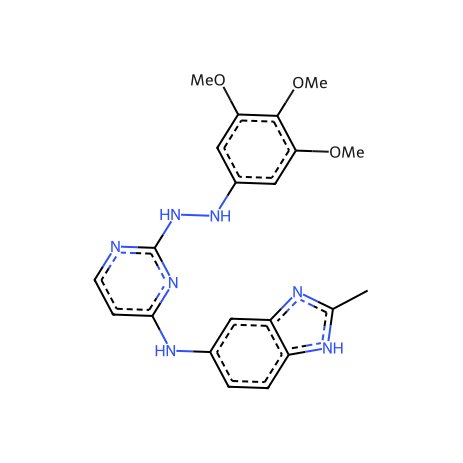 COc1cc(NNc2nccc(Nc3ccc4[nH]c(C)nc4c3)n2)cc(OC)c1OC